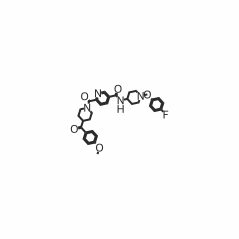 COc1ccc(C(=O)C2CCN(C(=O)c3ccc(C(=O)NC4CCN(Oc5ccc(F)cc5)CC4)cn3)CC2)cc1